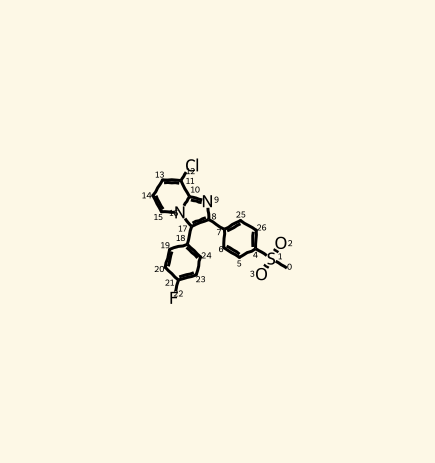 CS(=O)(=O)c1ccc(-c2nc3c(Cl)cccn3c2-c2ccc(F)cc2)cc1